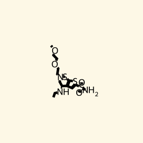 CCN[C@H]1CN(CCOCCOC)Sc2sc(S(N)(=O)=O)cc21